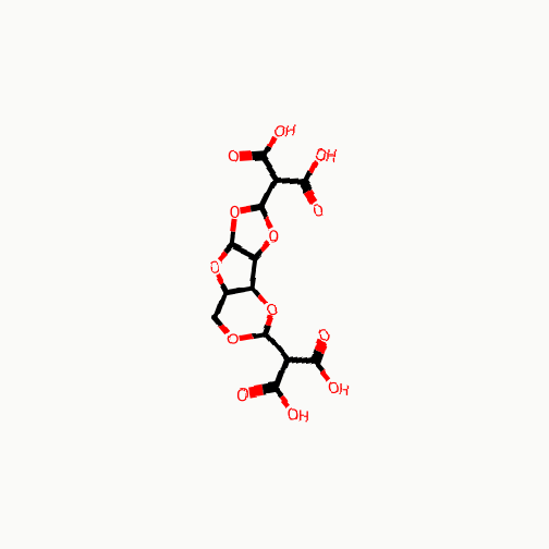 O=C(O)C(C(=O)O)C1OCC2OC3OC(C(C(=O)O)C(=O)O)OC3C2O1